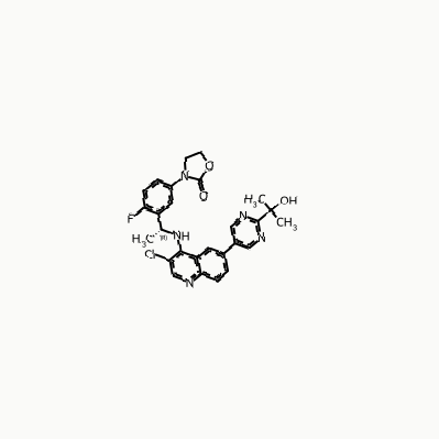 C[C@@H](Nc1c(Cl)cnc2ccc(-c3cnc(C(C)(C)O)nc3)cc12)c1cc(N2CCOC2=O)ccc1F